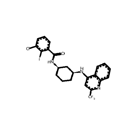 O=C(N[C@@H]1CCC[C@H](Nc2cc(C(F)(F)F)nc3ccccc23)C1)c1cccc(Cl)c1I